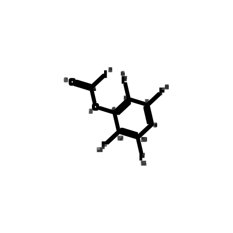 O=C(I)Oc1c(F)c(F)cc(F)c1F